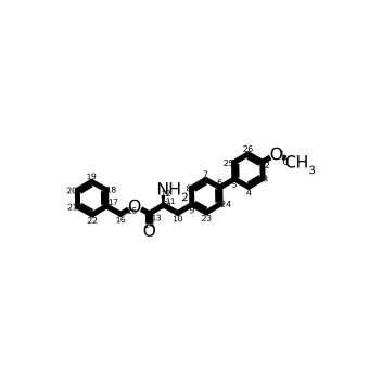 COc1ccc(-c2ccc(C[C@H](N)C(=O)OCc3ccccc3)cc2)cc1